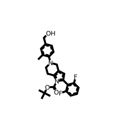 Cc1cc(CO)ccc1N1CCc2c(cc(-c3c(F)cccc3F)n2C(=O)OC(C)(C)C)C1